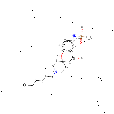 CCCCCCN1CCC2(CC1)CC(=O)c1cc(NS(C)(=O)=O)ccc1O2